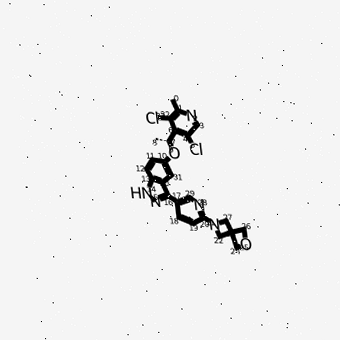 Cc1ncc(Cl)c([C@@H](C)Oc2ccc3[nH]nc(-c4ccc(N5CC6(COC6)C5)nc4)c3c2)c1Cl